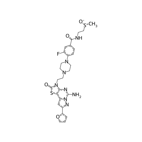 C[S@+]([O-])CCNC(=O)c1ccc(N2CCN(CCn3c(=O)sc4c3nc(N)n3nc(-c5ccco5)cc43)CC2)c(F)c1